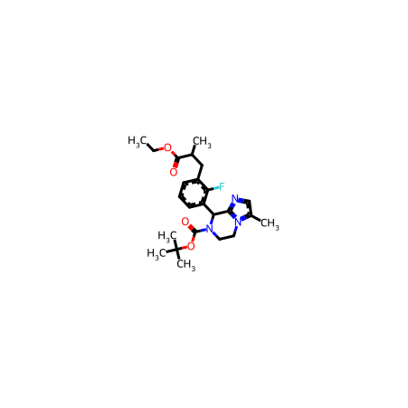 CCOC(=O)C(C)Cc1cccc(C2c3ncc(C)n3CCN2C(=O)OC(C)(C)C)c1F